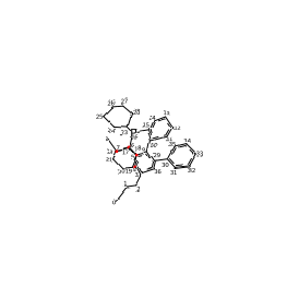 CCCc1cc(CCC)c(-c2ccccc2P(C2CCCCC2)C2CCCCC2)c(-c2ccccc2)c1